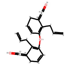 C=CCC1=C(OC2=C(CC=C)C(=C=O)CC=C2)C=CCC1=C=O